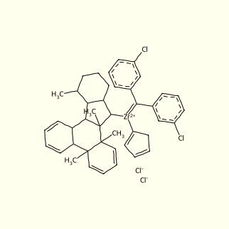 CC1CCCC2C1C1C3C=CC=CC3C3(C)C=CC=CC3(C)C1(C)[CH]2[Zr+2]([C]1=CC=CC1)=[C](c1cccc(Cl)c1)c1cccc(Cl)c1.[Cl-].[Cl-]